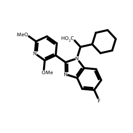 COc1ccc(-c2nc3cc(F)ccc3n2C(C(=O)O)C2CCCCC2)c(OC)n1